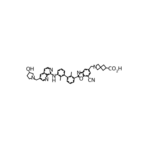 Cc1c(Nc2nccc3cc(CN4CC[C@@H](O)C4)cnc23)cccc1-c1cccc(-c2nc3cc(CN4CC5(CC(C(=O)O)C5)C4)cc(C#N)c3o2)c1C